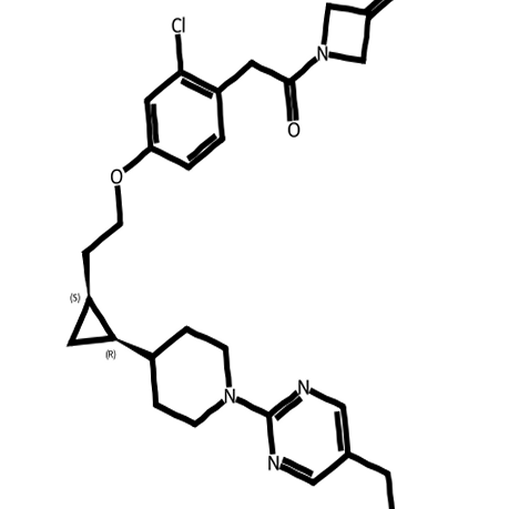 COCc1cnc(N2CCC([C@H]3C[C@H]3CCOc3ccc(CC(=O)N4CC(=O)C4)c(Cl)c3)CC2)nc1